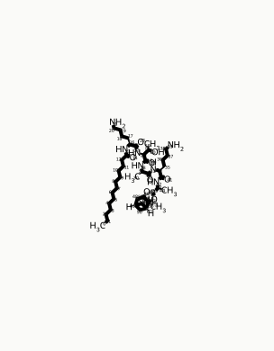 CCCCCCCCCCCCCC(=O)N[C@@H](CCCCN)C(=O)N[C@H](C(=O)N[C@@H](C)C(=O)N[C@@H](CCCCN)C(=O)N[C@@H](C)B1OC2C[C@@H]3C[C@@H](C3(C)C)[C@]2(C)O1)[C@@H](C)O